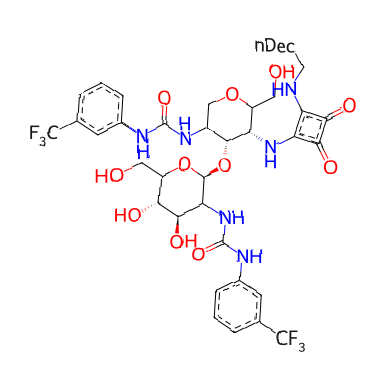 CCCCCCCCCCCNc1c(N[C@H]2C(CO)OCC(NC(=O)Nc3cccc(C(F)(F)F)c3)[C@H]2O[C@@H]2OC(CO)[C@@H](O)[C@H](O)C2NC(=O)Nc2cccc(C(F)(F)F)c2)c(=O)c1=O